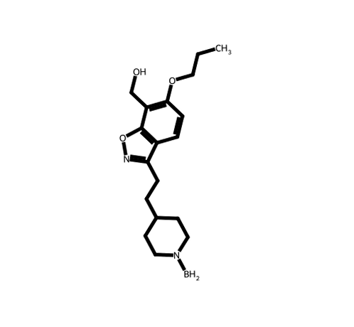 BN1CCC(CCc2noc3c(CO)c(OCCC)ccc23)CC1